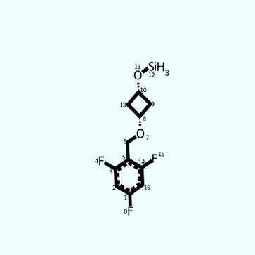 Fc1cc(F)c(CO[C@H]2C[C@@H](O[SiH3])C2)c(F)c1